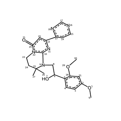 COc1ccc(C(O)CN2c3nc(-c4ccncn4)cc(=O)n3CCC2(C)C)c(OC)c1